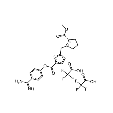 COC(=O)[C@@H]1CCCN1Cc1ccc(C(=O)Oc2ccc(C(=N)N)cc2)s1.O=C(O)C(F)(F)F.O=C(O)C(F)(F)F